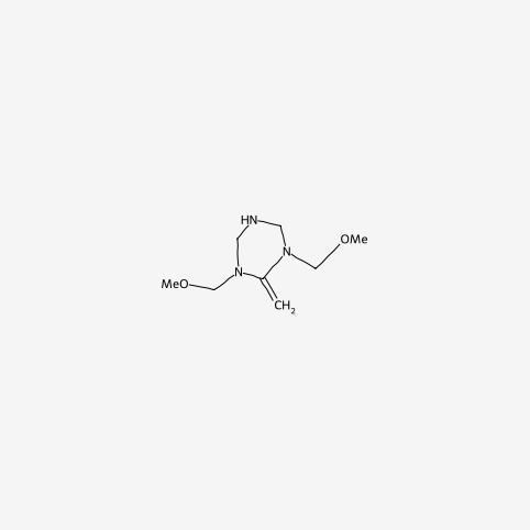 C=C1N(COC)CNCN1COC